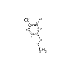 CCCc1ccc(Cl)c(F)c1